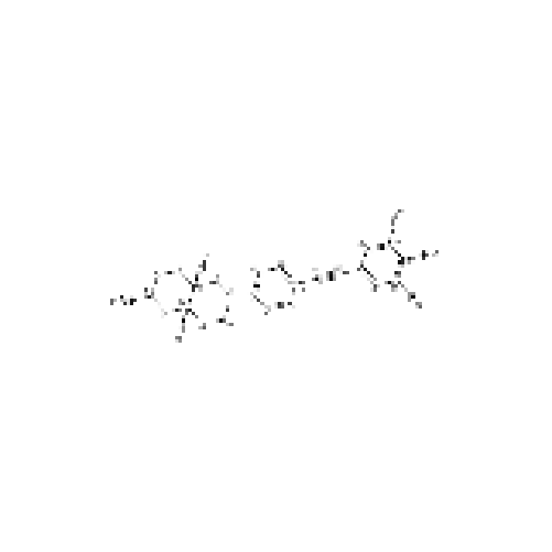 CCCCC1CC[C@@H]2C[C@H](c3ccc(C#Cc4cc(F)c(F)c(F)c4)cc3)CC[C@@H]2C1